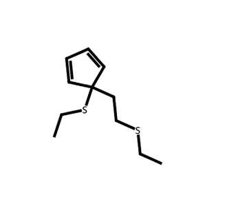 CCSCCC1(SCC)C=CC=C1